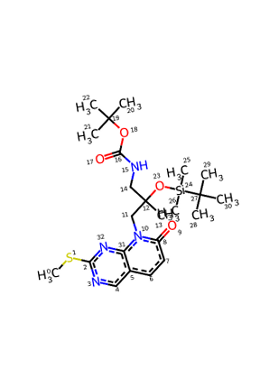 CSc1ncc2ccc(=O)n(CC(C)(CNC(=O)OC(C)(C)C)O[Si](C)(C)C(C)(C)C)c2n1